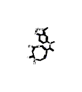 C=C(C1=C/C/C(C(C)C)=C\C(=O)N(CC)C/C=C\1)N(C)C1=CC(=C\C)/C(=N\CCCCC)C=C1